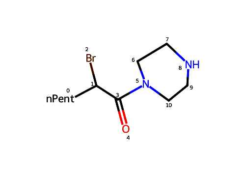 CCCCCC(Br)C(=O)N1CCNCC1